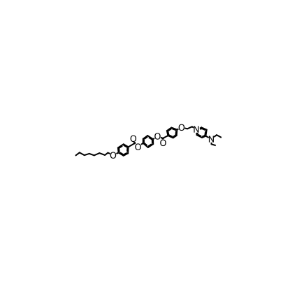 CCCCCCCCOc1ccc(C(=O)Oc2ccc(OC(=O)c3ccc(OCC[n+]4ccc(N(CC)CC)cc4)cc3)cc2)cc1